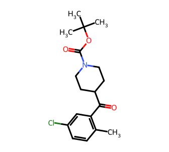 Cc1ccc(Cl)cc1C(=O)C1CCN(C(=O)OC(C)(C)C)CC1